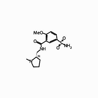 COc1ccc(S(N)(=O)=O)cc1C(=O)NC[C@@H]1CCCN1C